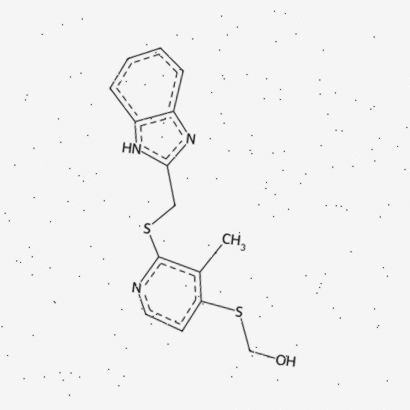 Cc1c(SCO)ccnc1SCc1nc2ccccc2[nH]1